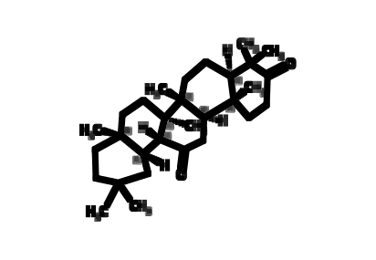 CC1(C)CC[C@]2(C)CC[C@]3(C)[C@H](C(=O)C[C@@H]4[C@@]5(C)CCC(=O)C(C)(C)[C@@H]5CC[C@]43C)[C@@H]2C1